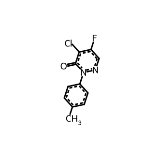 Cc1ccc(-n2ncc(F)c(Cl)c2=O)cc1